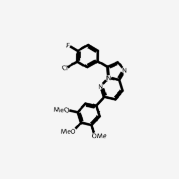 COc1cc(-c2ccc3ncc(-c4ccc(F)c(Cl)c4)n3n2)cc(OC)c1OC